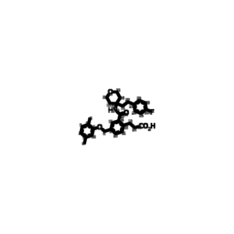 Cc1ccc(C)c(OCc2ccc(CCC(=O)O)c(C(=O)NC3(CCc4ccc(F)cc4)CCOCC3)c2)c1